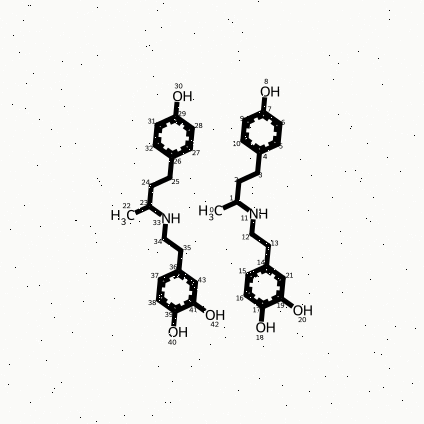 CC(CCc1ccc(O)cc1)NCCc1ccc(O)c(O)c1.CC(CCc1ccc(O)cc1)NCCc1ccc(O)c(O)c1